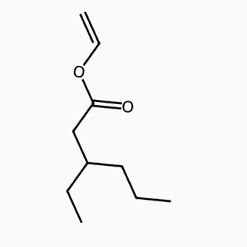 C=COC(=O)CC(CC)CCC